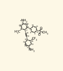 Cc1nc(N)nc(-c2ccc(S(C)(=O)=O)cc2)c1C#Cc1cnc(N)cc1C(F)(F)F